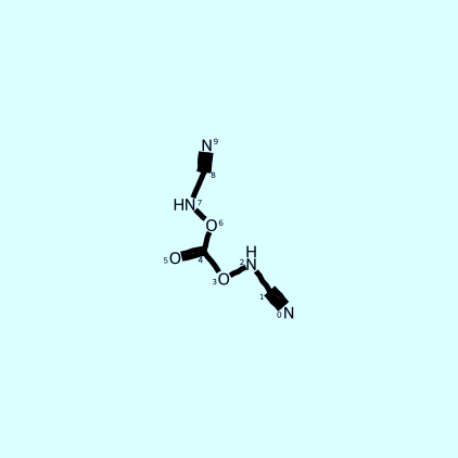 N#CNOC(=O)ONC#N